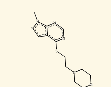 Cn1ncc2c(SCCN3CCOCC3)ncnc21